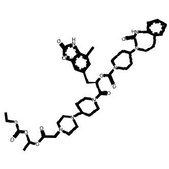 CCOC(=O)OC(C)OC(=O)CN1CCN(C2CCN(C(=O)[C@@H](Cc3cc(C)c4[nH]c(=O)oc4c3)OC(=O)N3CCC(N4CCc5ccccc5NC4=O)CC3)CC2)CC1